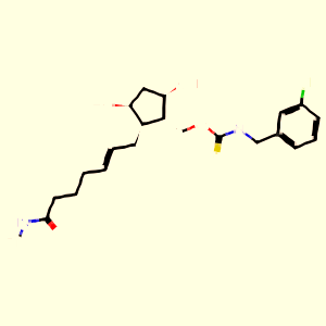 CCNC(=O)CCCC=CC[C@@H]1[C@@H](COC(=S)NCc2cccc(Cl)c2)[C@H](O)C[C@@H]1O